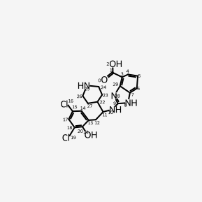 O=C(O)c1cccc2[nH]c(NC(Cc3cc(Cl)cc(Cl)c3O)C3CCNCC3)nc12